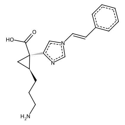 NCCC[C@H]1C[C@]1(C(=O)O)c1cn(/C=C/c2ccccc2)cn1